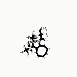 CCC(C)(C)C(=O)NC1CCCCCCC1C(S(=O)(=O)C(F)(F)F)S(=O)(=O)C(F)(F)F